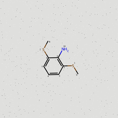 CSc1cccc(SC)c1N